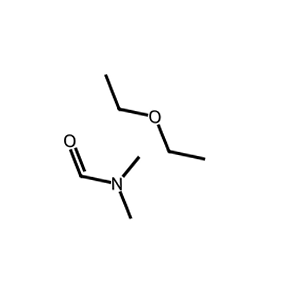 CCOCC.CN(C)C=O